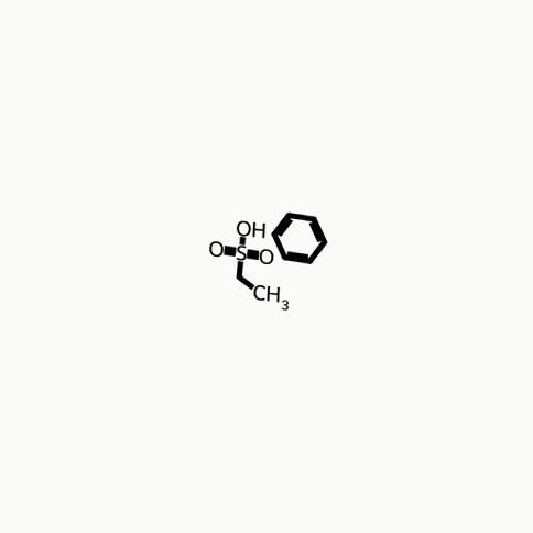 CCS(=O)(=O)O.c1ccccc1